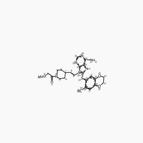 COCC(=O)N1CCC(CCn2c(Sc3cc4c(cc3C#N)OCCO4)nc3c(N)ncnc32)CC1